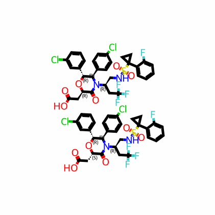 O=C(O)C[C@@H]1O[C@H](c2cccc(Cl)c2)[C@@H](c2ccc(Cl)cc2)N([C@@H](CNS(=O)(=O)C2(c3ccccc3F)CC2)CC(F)(F)F)C1=O.O=C(O)C[C@H]1O[C@H](c2cccc(Cl)c2)[C@@H](c2ccc(Cl)cc2)N([C@@H](CNS(=O)(=O)C2(c3ccccc3F)CC2)CC(F)(F)F)C1=O